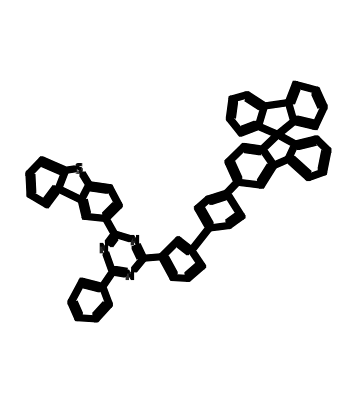 c1ccc(-c2nc(-c3cccc(-c4ccc(-c5ccc6c(c5)-c5ccccc5C65c6ccccc6-c6ccccc65)cc4)c3)nc(-c3ccc4sc5ccccc5c4c3)n2)cc1